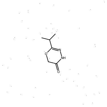 CC(C)C1=NNC(=O)CO1